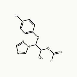 CC(C)(C)C(OC(=O)Cl)C(Oc1ccc(Cl)cc1)n1cncn1